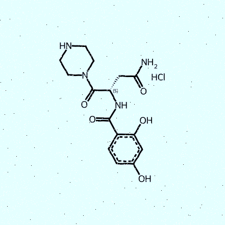 Cl.NC(=O)C[C@H](NC(=O)c1ccc(O)cc1O)C(=O)N1CCNCC1